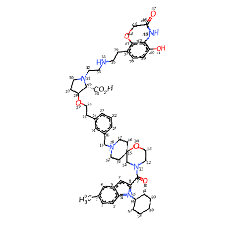 Cc1ccc2c(c1)cc(C(=O)N1CCOC3(CCN(Cc4cccc(CCOC5CCN(CCNCCc6ccc(O)c7c6OCC(=O)N7)[C@@H]5C(=O)O)c4)CC3)C1)n2C1CCCCC1